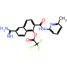 Cc1cccc(NC(=O)c2ccc3cc(C(=N)N)ccc3c2OC(=O)C(F)(F)F)n1